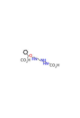 O=C(O)CNCCNCCNCCOC(CC(=O)O)c1ccccc1